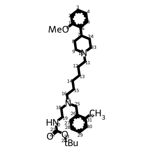 COc1ccccc1C1CCN(CCCCCCN(CCNC(=O)OC(C)(C)C)Cc2ccccc2C)CC1